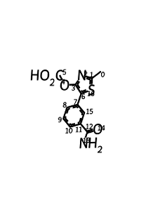 Cc1nc(OC(=O)O)c(-c2cccc(C(N)=O)c2)s1